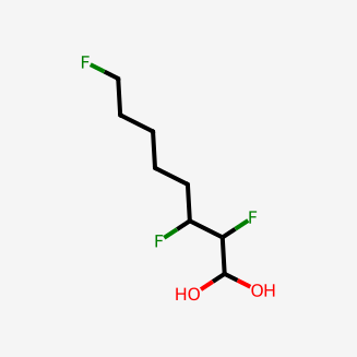 OC(O)C(F)C(F)CCCCCF